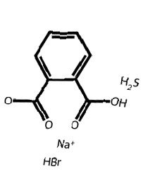 Br.O=C([O-])c1ccccc1C(=O)O.S.[Na+]